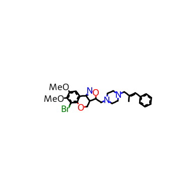 COc1cc2c(c(Br)c1OC)OCC1C2=NOC1CN1CCN(C/C(C)=C/c2ccccc2)CC1